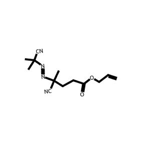 C=CCOC(=O)CCC(C)(C#N)/N=N/C(C)(C)C#N